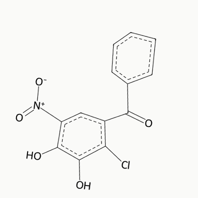 O=C(c1ccccc1)c1cc([N+](=O)[O-])c(O)c(O)c1Cl